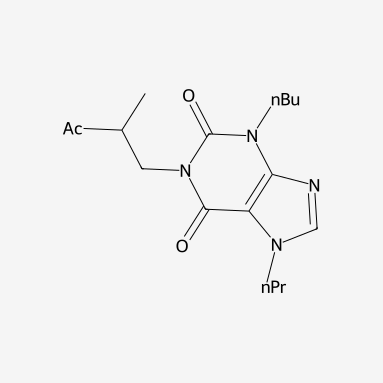 CCCCn1c(=O)n(CC(C)C(C)=O)c(=O)c2c1ncn2CCC